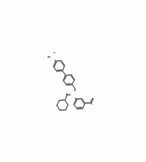 C=C(CC)c1cccc(N(Cc2ccc(-c3ccc(N(C)C)cc3)cc2)C(=O)C2CCCCC2)c1